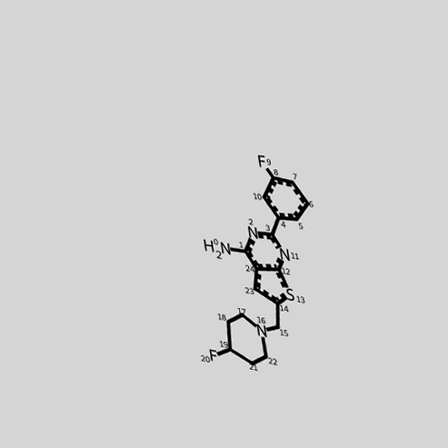 Nc1nc(-c2cccc(F)c2)nc2sc(CN3CCC(F)CC3)cc12